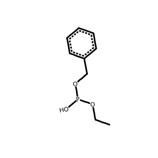 CCOP(O)OCc1ccccc1